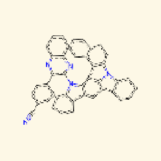 N#Cc1ccc(-c2nc3ccccc3nc2-n2c3ccccc3c3cc4c5ccccc5n5c6ccc7ccccc7c6c(c32)c45)cc1